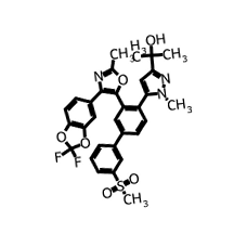 Cc1nc(-c2ccc3c(c2)OC(F)(F)O3)c(-c2cc(-c3cccc(S(C)(=O)=O)c3)ccc2-c2cc(C(C)(C)O)nn2C)o1